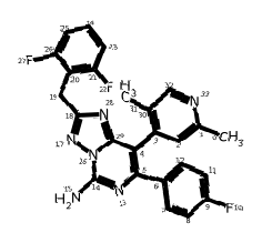 Cc1cc(-c2c(-c3ccc(F)cc3)nc(N)n3nc(Cc4c(F)cccc4F)nc23)c(C)cn1